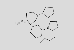 C1CCC(N2CCCC2)CC1.C1CCC(N2CCCC2)CC1.CCCC.O.O